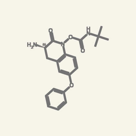 CC(C)(C)NC(=O)ON1C(=O)[C@@H](N)Cc2cc(Oc3ccccc3)ccc21